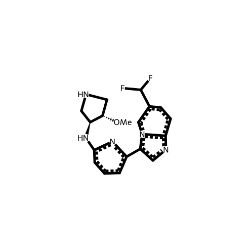 CO[C@H]1CNC[C@@H]1Nc1cccc(-c2cnc3ccc(C(F)F)cn23)n1